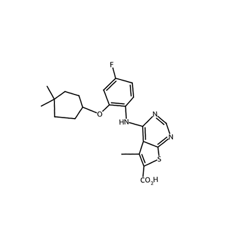 Cc1c(C(=O)O)sc2ncnc(Nc3ccc(F)cc3OC3CCC(C)(C)CC3)c12